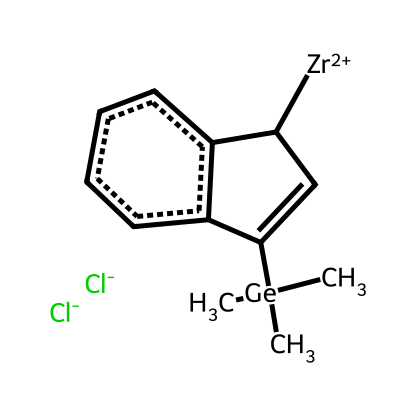 [CH3][Ge]([CH3])([CH3])[C]1=C[CH]([Zr+2])c2ccccc21.[Cl-].[Cl-]